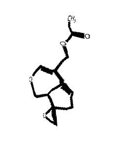 CC(=O)OCC1=COCC2C1=CCC21CO1